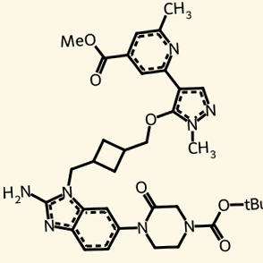 COC(=O)c1cc(C)nc(-c2cnn(C)c2OCC2CC(Cn3c(N)nc4ccc(N5CCN(C(=O)OC(C)(C)C)CC5=O)cc43)C2)c1